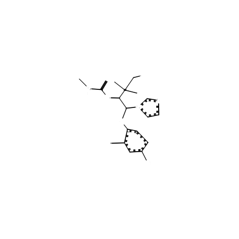 CNC(=O)OC(C(Oc1ccc(Cl)cc1Cl)n1ccnc1)C(C)(C)CCl